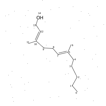 CCCCCC(C)=CCCC(C)=CCO